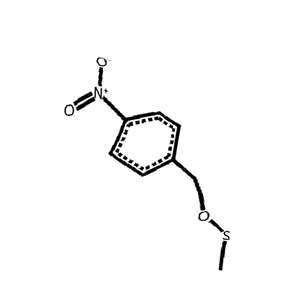 CSOCc1ccc([N+](=O)[O-])cc1